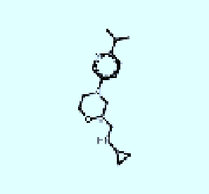 CC(C)c1ccc(N2CCO[C@H](CNC3CC3)C2)cn1